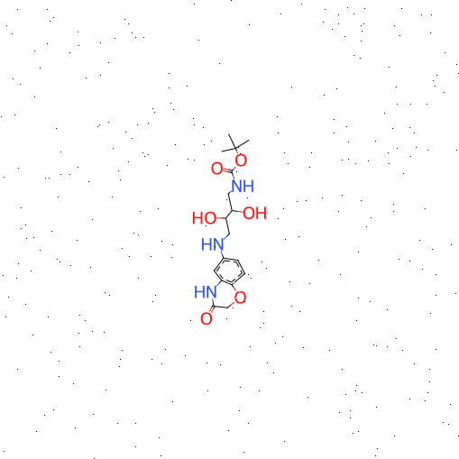 CC(C)(C)OC(=O)NCC(O)C(O)CNc1ccc2c(c1)NC(=O)CO2